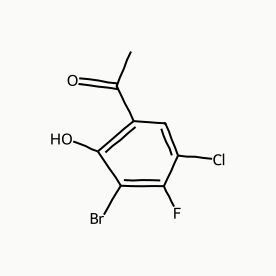 CC(=O)c1cc(Cl)c(F)c(Br)c1O